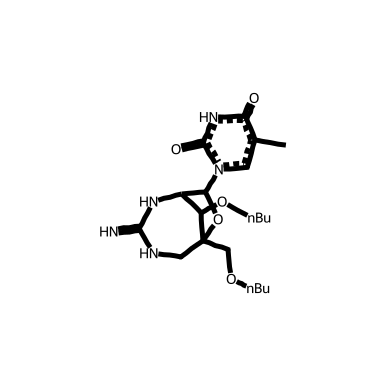 CCCCOCC12CNC(=N)NC(C(n3cc(C)c(=O)[nH]c3=O)O1)C2OCCCC